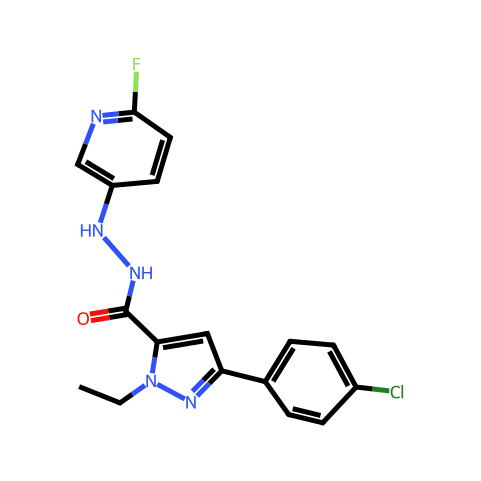 CCn1nc(-c2ccc(Cl)cc2)cc1C(=O)NNc1ccc(F)nc1